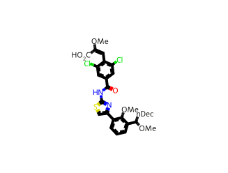 CCCCCCCCCCC(OC)c1cccc(-c2csc(NC(=O)c3cc(Cl)c(/C=C(/OC)C(=O)O)c(Cl)c3)n2)c1OC